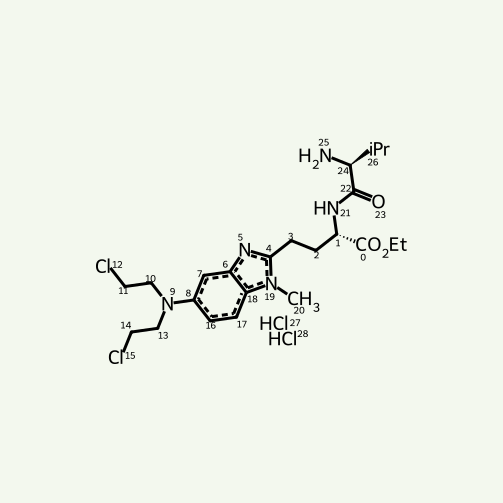 CCOC(=O)[C@H](CCc1nc2cc(N(CCCl)CCCl)ccc2n1C)NC(=O)[C@@H](N)C(C)C.Cl.Cl